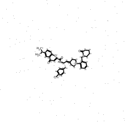 CC(C)c1ccc2oc(C(=O)N[C@H](C=C3CCN(c4ccccc4CN4CCCCC4=O)CC3)Cc3ccc(Cl)cc3)cc(=O)c2c1